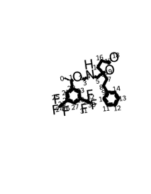 C[C@@H](OCNCC1(CCc2ccccc2)CCC(=O)O1)c1cc(C(F)(F)F)cc(C(F)(F)F)c1